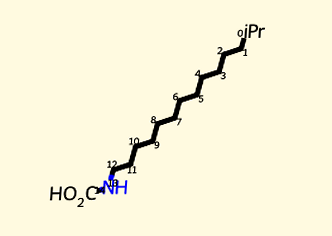 CC(C)CCCCCCCCCCCCNC(=O)O